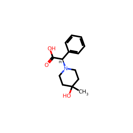 CC1(O)CCN([C@@H](C(=O)O)c2ccccc2)CC1